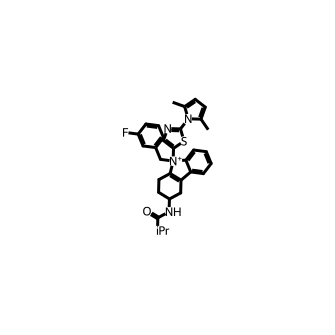 Cc1ccc(C)n1-c1ncc([N+]2(Cc3cccc(F)c3)C3=C(CC(NC(=O)C(C)C)CC3)c3ccccc32)s1